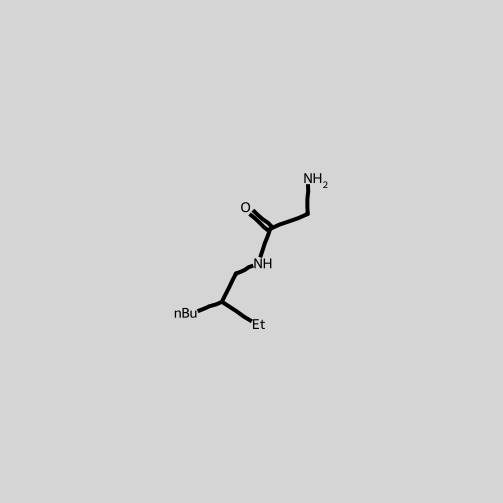 CCCCC(CC)CNC(=O)CN